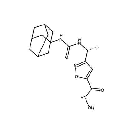 C[C@@H](NC(=O)NC12CC3CC(CC(C3)C1)C2)c1cc(C(=O)NO)on1